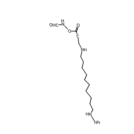 CCCNCCCCCCCCCCNCCC(=O)ONC=O